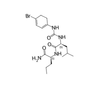 CCC[C@H](NC(=O)[C@H](CC(C)C)NC(=O)NC1=CC=C(Br)CC1)C(N)=O